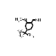 CNC1=C(C=N)CCC(C(C)(C)C)C1